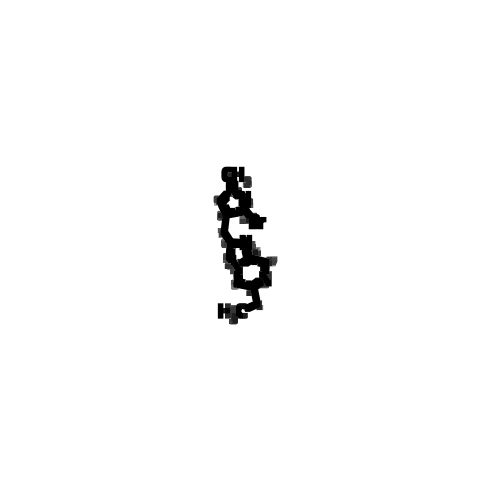 CCc1cn2cc(Cc3cn(C)nc3Br)nc2cn1